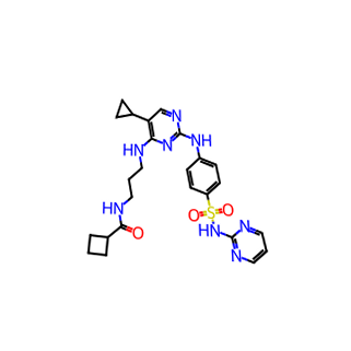 O=C(NCCCNc1nc(Nc2ccc(S(=O)(=O)Nc3ncccn3)cc2)ncc1C1CC1)C1CCC1